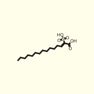 CCCCCCCCCCCCC=C(C(=O)O)S(=O)(=O)O